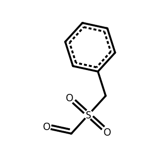 O=CS(=O)(=O)Cc1ccccc1